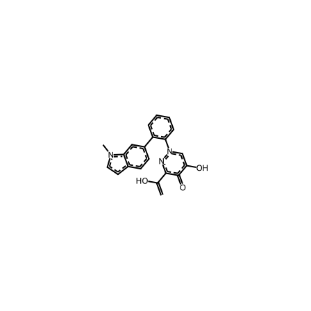 C=C(O)c1nn(-c2ccccc2-c2ccc3ccn(C)c3c2)cc(O)c1=O